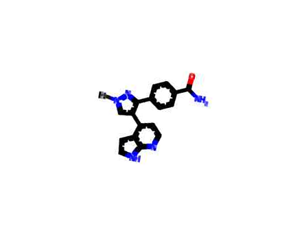 CCn1cc(-c2ccnc3[nH]ccc23)c(-c2ccc(C(N)=O)cc2)n1